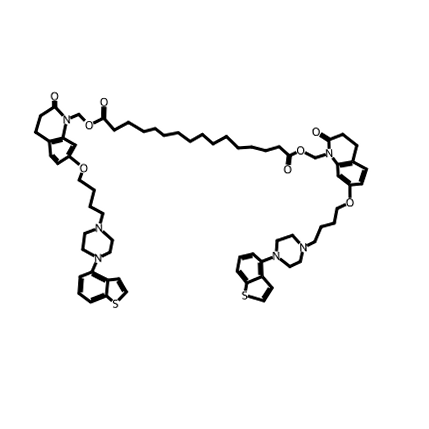 O=C(CCCCCCCCCCCCCCC(=O)OCN1C(=O)CCc2ccc(OCCCCN3CCN(c4cccc5sccc45)CC3)cc21)OCN1C(=O)CCc2ccc(OCCCCN3CCN(c4cccc5sccc45)CC3)cc21